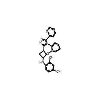 N#Cc1ccc(NC2CC(c3nnc(-c4ccncn4)n3-c3ccccc3Cl)C2)c(O)c1